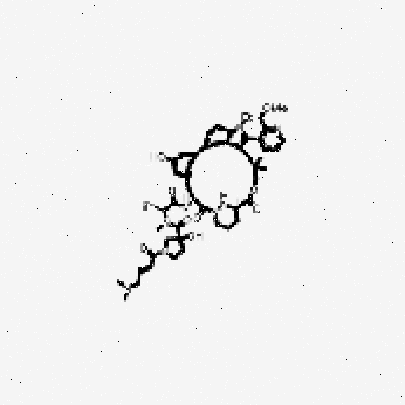 CCn1c(-c2cccnc2COC)c2c3cc(ccc31)-c1cc(O)cc(c1)C[C@H](NC(=O)[C@H](C(C)C)N(C)C(=O)C1(O)CCN(C(=O)/C=C/CN(C)C)C1)C(=O)N1CCC[C@H](N1)C(=O)OCC(C)(C)C2